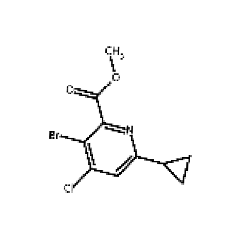 COC(=O)c1nc(C2CC2)cc(Cl)c1Br